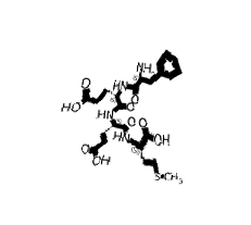 CSCC[C@H](NC(=O)[C@H](CCC(=O)O)NC(=O)[C@H](CCC(=O)O)NC(=O)[C@@H](N)Cc1ccccc1)C(=O)O